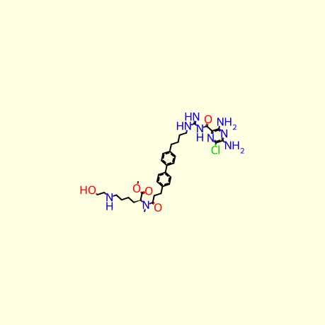 COC(=O)[C@H](CCCCNCCO)N(C)C(=O)CCc1ccc(-c2ccc(CCCCNC(=N)NC(=O)c3nc(Cl)c(N)nc3N)cc2)cc1